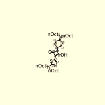 CCCCCCCCN(CCCCCCCC)c1ncc(C2=C(O)/C(=C3\C=NC(=[N+](CCCCCCCC)CCCCCCCC)C=N3)C2=O)s1